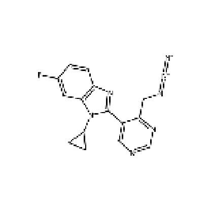 [N-]=[N+]=NCc1ncncc1-c1nc2ccc(F)cc2n1C1CC1